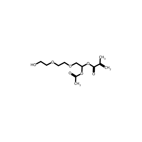 C=C(C)C(=O)OC(COCCOCCO)OC(C)=O